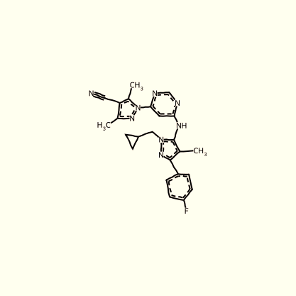 Cc1nn(-c2cc(Nc3c(C)c(-c4ccc(F)cc4)nn3CC3CC3)ncn2)c(C)c1C#N